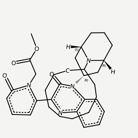 COC(=O)Cn1c(-c2nc3ccccc3n([C@H]3C[C@H]4CCC[C@@H](C3)N4C3CCCCCCCCC3)c2=O)cccc1=O